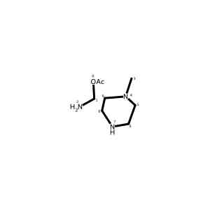 CC(=O)OCN.CN1CCNCC1